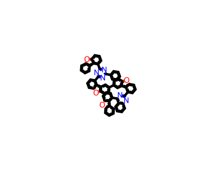 c1ccc(-c2nc(-c3cccc4oc5ccccc5c34)nc(-c3cccc4oc5ccc(-c6ccc7oc8cccc(-c9nc(-c%10cccc%11oc%12ccccc%12c%10%11)c%10ccccc%10n9)c8c7c6)cc5c34)n2)cc1